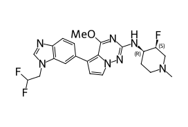 COc1nc(N[C@@H]2CCN(C)C[C@@H]2F)nn2ccc(-c3ccc4ncn(CC(F)F)c4c3)c12